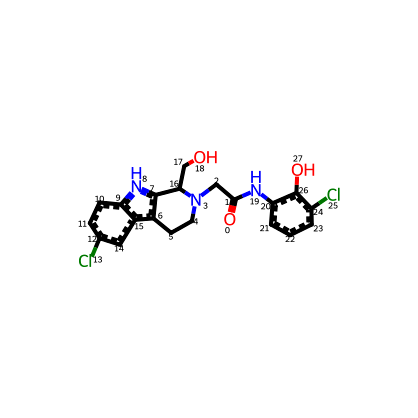 O=C(CN1CCc2c([nH]c3ccc(Cl)cc23)C1CO)Nc1cccc(Cl)c1O